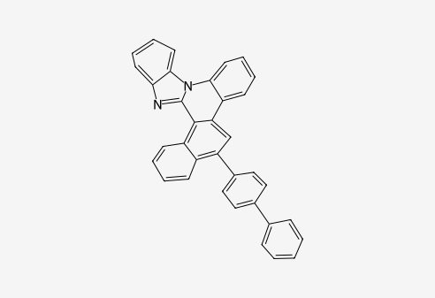 c1ccc(-c2ccc(-c3cc4c5ccccc5n5c6ccccc6nc5c4c4ccccc34)cc2)cc1